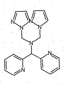 c1ccc(C(c2ccccn2)N(Cn2cccn2)Cn2cccn2)nc1